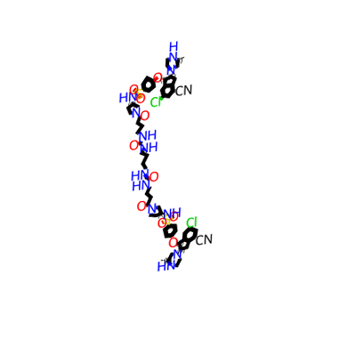 C[C@@H]1CN([C@H]2Cc3c(C#N)cc(Cl)cc3[C@@H]2Oc2ccc(S(=O)(=O)N[C@@H]3CCN(C(=O)CCCNC(=O)NCCCCNC(=O)NCCCC(=O)N4CC[C@H](NS(=O)(=O)c5ccc(O[C@H]6c7cc(Cl)cc(C#N)c7C[C@@H]6N6CCN[C@H](C)C6)cc5)C4)C3)cc2)CCN1